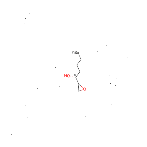 CCCCCCC[C@@H](O)C1CO1